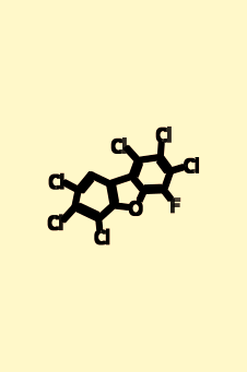 Fc1c(Cl)c(Cl)c(Cl)c2c1oc1c(Cl)c(Cl)c(Cl)cc12